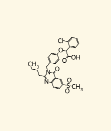 CCCCc1nc2ccc(S(C)(=O)=O)cc2c(=O)n1Cc1ccc(OC(C(=O)O)c2ccccc2Cl)cc1